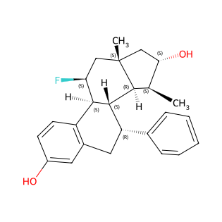 C[C@H]1[C@H]2[C@H]3[C@@H](c4ccc(O)cc4C[C@H]3c3ccccc3)[C@@H](F)C[C@]2(C)C[C@@H]1O